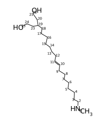 CNCCCCCCCCC=CCCCCCCCC(CCO)CCO